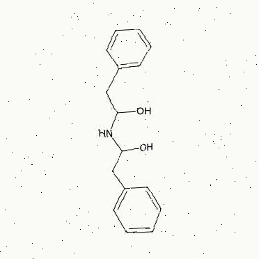 OC(Cc1ccccc1)NC(O)Cc1ccccc1